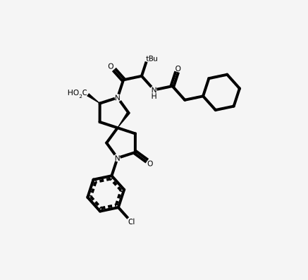 CC(C)(C)C(NC(=O)CC1CCCCC1)C(=O)N1C[C@]2(CC(=O)N(c3cccc(Cl)c3)C2)C[C@H]1C(=O)O